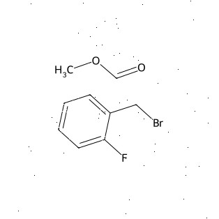 COC=O.Fc1ccccc1CBr